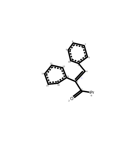 CC(C)C(=O)/C(=C/c1ccccc1)c1ccccc1